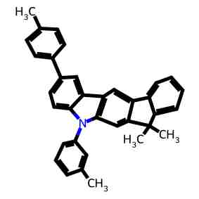 Cc1ccc(-c2ccc3c(c2)c2cc4c(cc2n3-c2cccc(C)c2)C(C)(C)c2ccccc2-4)cc1